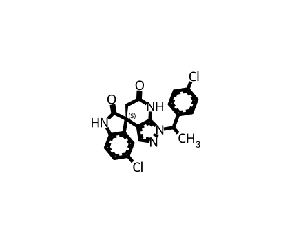 CC(c1ccc(Cl)cc1)n1ncc2c1NC(=O)C[C@@]21C(=O)Nc2ccc(Cl)cc21